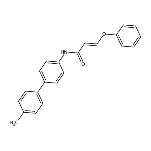 Cc1ccc(-c2ccc(NC(=O)C=COc3ccccc3)cc2)cc1